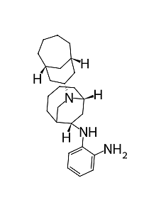 Nc1ccccc1N[C@H]1C[C@H]2CCCCC1CN2[C@@H]1C[C@@H]2CCCC[C@@H](C2)C1